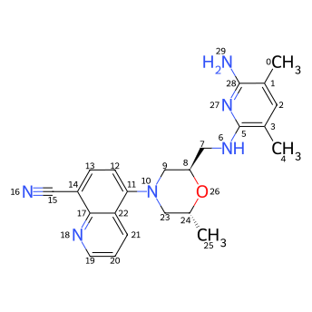 Cc1cc(C)c(NC[C@@H]2CN(c3ccc(C#N)c4ncccc34)C[C@@H](C)O2)nc1N